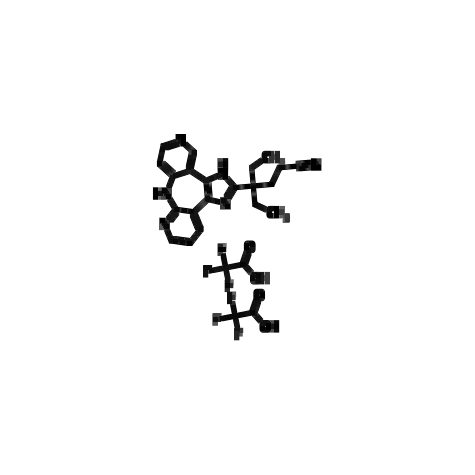 CCC(CC)(CCC#N)c1nc2c([nH]1)-c1cnccc1Nc1ncccc1-2.O=C(O)C(F)(F)F.O=C(O)C(F)(F)F